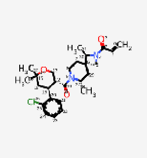 C=CC(=O)N1C[C@]2(CCN(C(=O)[C@H]3COC(C)(C)C[C@@H]3c3ccccc3Cl)[C@@H](C)C2)[C@H]1C